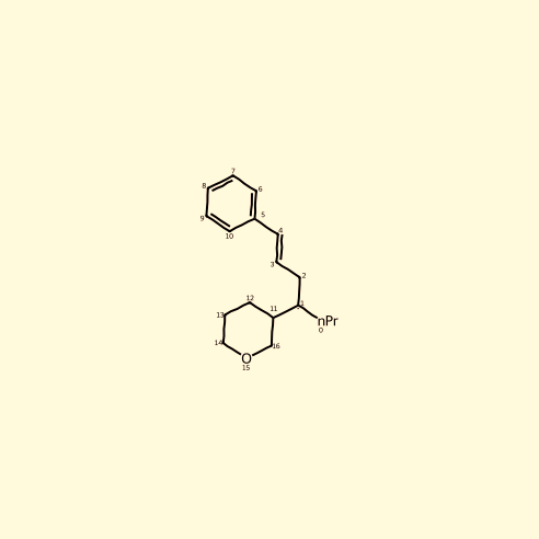 CCC[C](CC=Cc1ccccc1)C1CCCOC1